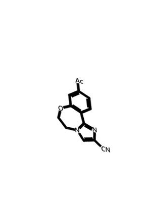 CC(=O)c1ccc2c(c1)OCCn1cc(C#N)nc1-2